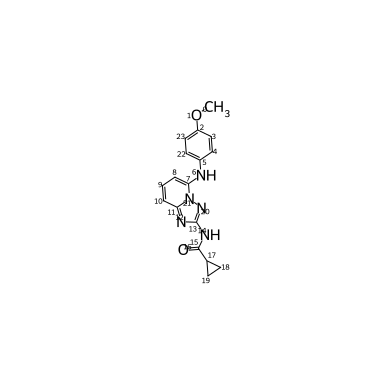 COc1ccc(Nc2cccc3nc(NC(=O)C4CC4)nn23)cc1